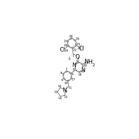 C[C@@H](Oc1nc(-c2cccc([CH]N3CCCC3)c2)cnc1N)c1c(Cl)cccc1Cl